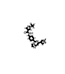 Cn1cc(-c2cc3nccn3c(-c3ccc(CNC(=O)c4cnn(C(C)(C)C)c4)cc3)n2)cn1